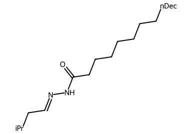 CCCCCCCCCCCCCCCCCC(=O)NN=CCC(C)C